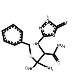 CNC(=O)C(Nc1n[nH]c(=S)s1)C(N)(C=O)OCc1ccccc1